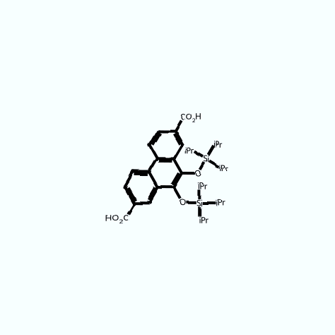 CC(C)[Si](Oc1c(O[Si](C(C)C)(C(C)C)C(C)C)c2cc(C(=O)O)ccc2c2ccc(C(=O)O)cc12)(C(C)C)C(C)C